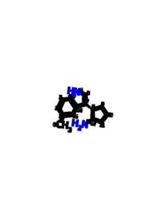 Cc1ccc2[nH]cc([C@@H]3CCC[C@H]3N)c2c1